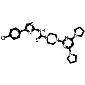 S=C(Nc1nc(-c2ccc(Cl)cc2)cs1)N1CCN(c2nc(N3CCCC3)cc(N3CCCC3)n2)CC1